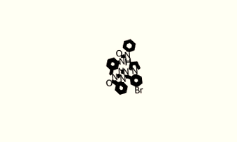 O=C(Nc1cccc(Cn2c(=O)c3ccccc3n3c(-c4cc(Br)ccc4N4CCCC4)nnc23)c1)NC1CCCCC1